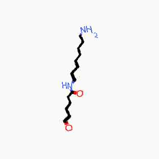 NCCCCCCCCNC(=O)CCCCC=O